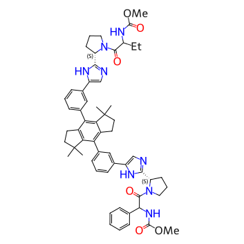 CCC(NC(=O)OC)C(=O)N1CCC[C@H]1c1ncc(-c2cccc(-c3c4c(c(-c5cccc(-c6cnc([C@@H]7CCCN7C(=O)C(NC(=O)OC)c7ccccc7)[nH]6)c5)c5c3C(C)(C)CC5)C(C)(C)CC4)c2)[nH]1